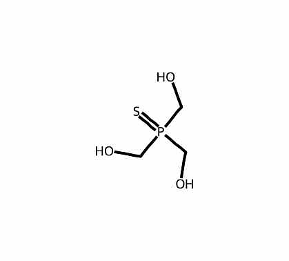 OCP(=S)(CO)CO